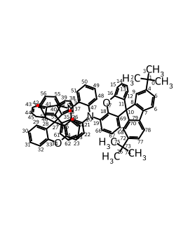 CC(C)(C)c1ccc2c(c1)C1(c3ccccc3Oc3c(N(c4ccc5c(c4)C4(c6ccccc6O5)c5ccccc5C5=CC=CCC54)c4ccccc4-n4c5ccccc5c5ccccc54)cccc31)c1cc(C(C)(C)C)ccc1-2